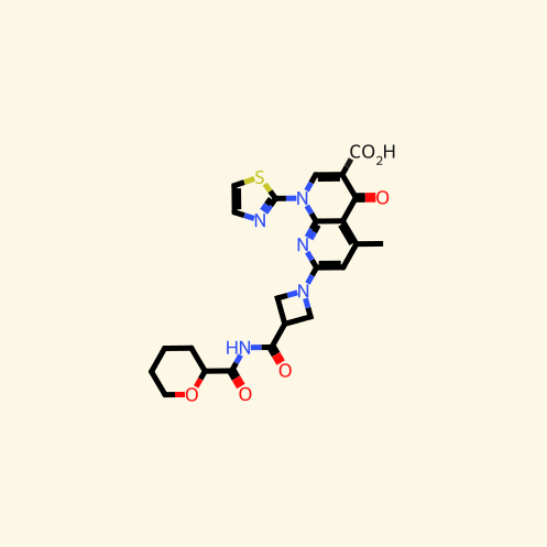 Cc1cc(N2CC(C(=O)NC(=O)C3CCCCO3)C2)nc2c1c(=O)c(C(=O)O)cn2-c1nccs1